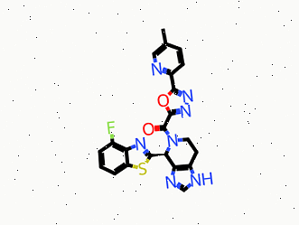 Cc1ccc(-c2nnc(C(=O)N3CCc4[nH]cnc4[C@H]3c3nc4c(F)cccc4s3)o2)nc1